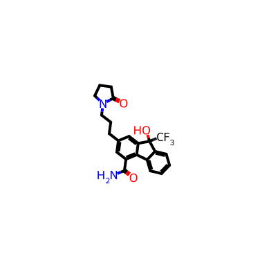 NC(=O)c1cc(CCCN2CCCC2=O)cc2c1-c1ccccc1C2(O)C(F)(F)F